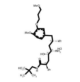 COCCCOc1cc(C[C@@H](C[C@H](N)[C@@H](O)C[C@H](C(=O)NCC(C)(C)C(=O)O)C(C)C)C(C)C)ccc1OC.Cl